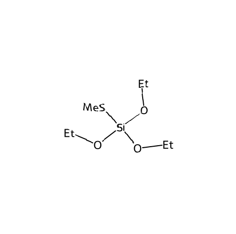 CCO[Si](OCC)(OCC)SC